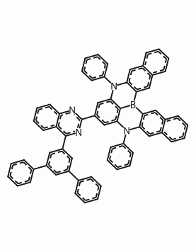 c1ccc(-c2cc(-c3ccccc3)cc(-c3nc(-c4cc5c6c(c4)N(c4ccccc4)c4cc7ccccc7cc4B6c4cc6ccccc6cc4N5c4ccccc4)nc4ccccc34)c2)cc1